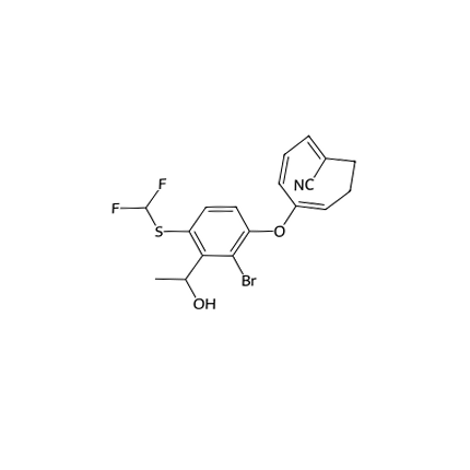 CC(O)c1c(SC(F)F)ccc(OC2=C/CC/C(C#N)=C/C=C\2)c1Br